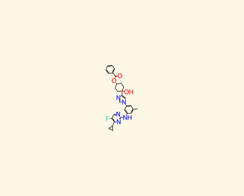 Cc1cc(Nc2ncc(F)c(C3CC3)n2)cc(-n2cnc([C@]3(O)CC[C@@H](OC(=O)c4ccccc4)CC3)c2)c1